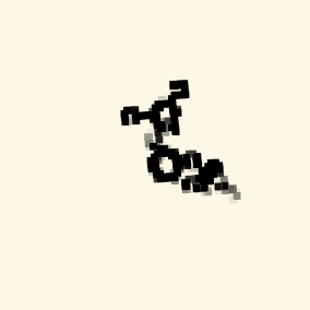 CS(=O)(=O)Oc1cccc(Oc2ncc(Cl)cc2Cl)c1